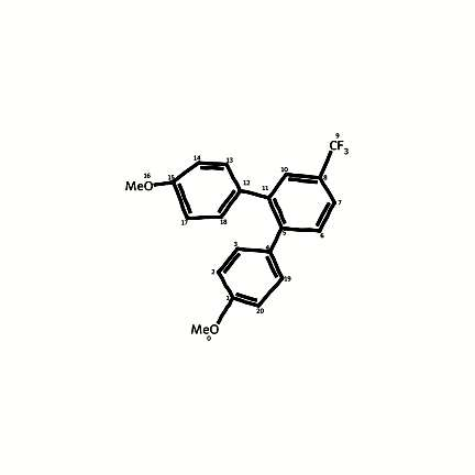 COc1ccc(-c2ccc(C(F)(F)F)cc2-c2ccc(OC)cc2)cc1